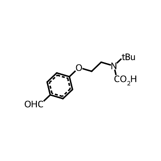 CC(C)(C)N(CCOc1ccc(C=O)cc1)C(=O)O